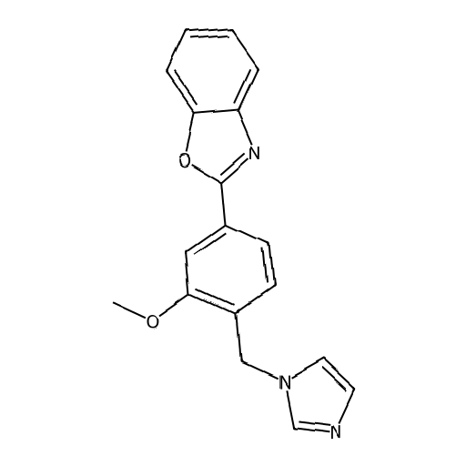 COc1cc(-c2nc3ccccc3o2)ccc1Cn1ccnc1